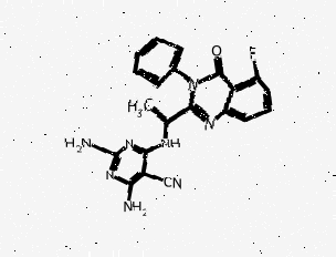 CC(Nc1nc(N)nc(N)c1C#N)c1nc2cccc(F)c2c(=O)n1-c1ccccc1